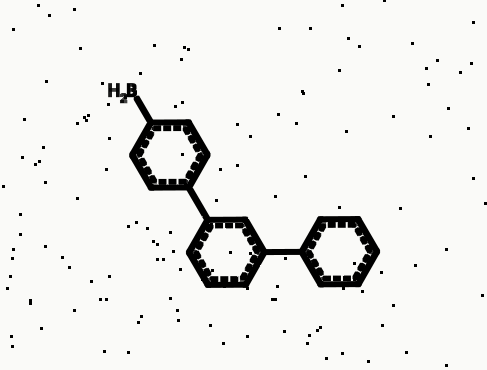 Bc1ccc(-c2cccc(-c3ccccc3)c2)cc1